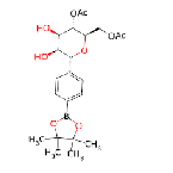 CC(=O)OC[C@H]1O[C@H](c2ccc(B3OC(C)(C)C(C)(C)O3)cc2)[C@@H](O)[C@@H](O)[C@@H]1OC(C)=O